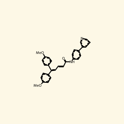 COc1ccc(C(=C/C=C/C(=O)Nc2ccc(-c3cccnc3)cc2)c2ccc(OC)cc2)cc1